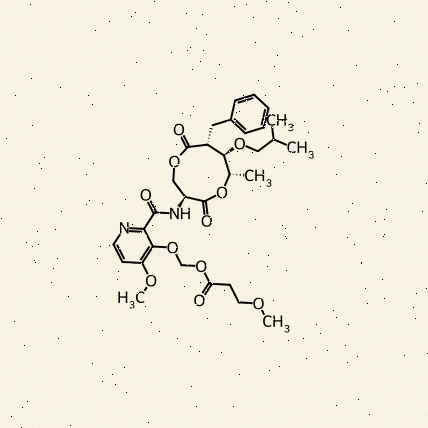 COCCC(=O)OCOc1c(OC)ccnc1C(=O)N[C@H]1COC(=O)[C@H](Cc2ccccc2)[C@@H](OCC(C)C)[C@H](C)OC1=O